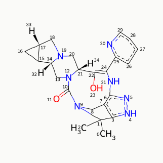 CC1(C)c2[nH]nc3c2CN1C(=O)N1C[C@@H]2C4C[C@@H]4CN2C[C@@H]1/C(O)=C(\c1ccccn1)N3